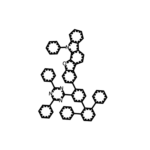 c1ccc(-c2nc(-c3ccccc3)nc(-c3cc(-c4c(-c5ccccc5)cccc4-c4ccccc4)ccc3-c3ccc4oc5c(ccc6c7ccccc7n(-c7ccccc7)c65)c4c3)n2)cc1